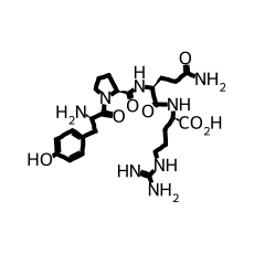 N=C(N)NCCC[C@H](NC(=O)[C@H](CCC(N)=O)NC(=O)[C@@H]1CCCN1C(=O)[C@@H](N)Cc1ccc(O)cc1)C(=O)O